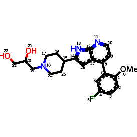 COc1ccc(F)cc1-c1ccnc2[nH]c(C3CCN(CC(O)CO)CC3)cc12